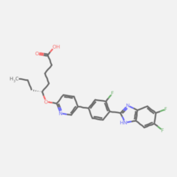 CCC[C@H](CCCC(=O)O)Oc1ccc(-c2ccc(-c3nc4cc(F)c(F)cc4[nH]3)c(F)c2)cn1